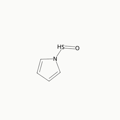 O=[SH]n1cccc1